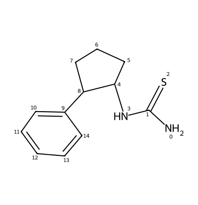 NC(=S)NC1CCCC1c1ccccc1